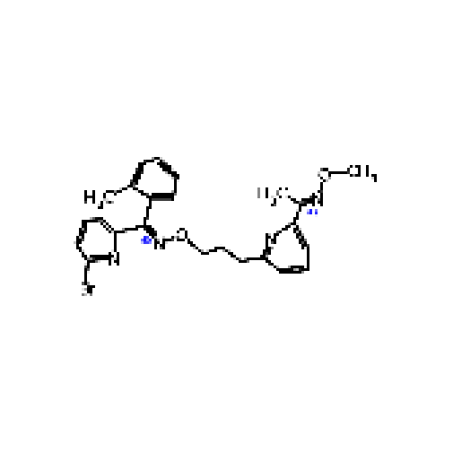 CO/N=C(\C)c1cccc(CCCO/N=C(/c2cccc(Br)n2)c2ccccc2C)n1